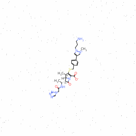 CC(NC(=O)Cn1cnnn1)[C@H]1C(=O)N2C(C(=O)[O-])=C(SCc3ccc(-c4cn(CCCN)[n+](C)c4)cc3)[C@H](C)[C@H]12